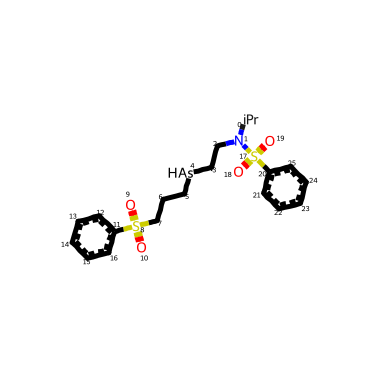 CC(C)N(C[CH][AsH]CCCS(=O)(=O)c1ccccc1)S(=O)(=O)c1ccccc1